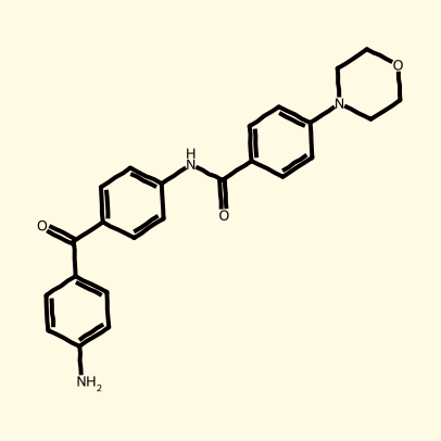 Nc1ccc(C(=O)c2ccc(NC(=O)c3ccc(N4CCOCC4)cc3)cc2)cc1